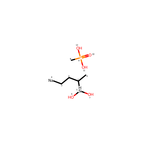 CC(C[CH2][Na])[SiH](O)O.CP(=O)(O)O